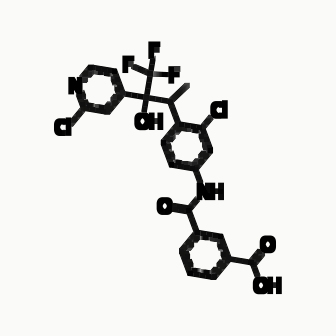 CC(c1ccc(NC(=O)c2cccc(C(=O)O)c2)cc1Cl)C(O)(c1ccnc(Cl)c1)C(F)(F)F